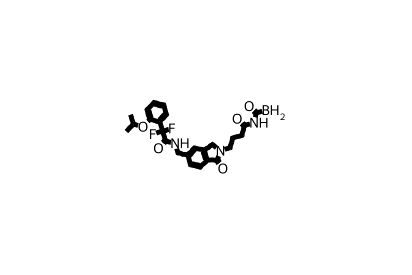 BC(=O)NC(=O)CCCN1Cc2cc(CNC(=O)C(F)(F)c3ccccc3OC(C)C)ccc2C1=O